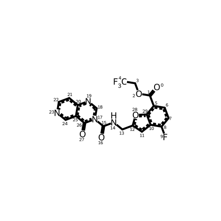 O=C(OCC(F)(F)F)c1ccc(F)c2cc(CNC(=O)n3cnc4ccncc4c3=O)oc12